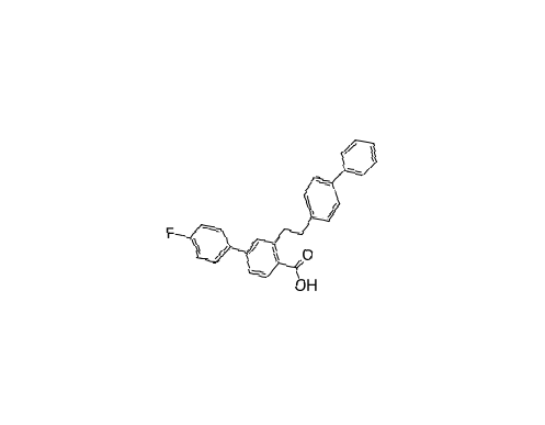 O=C(O)c1ccc(-c2ccc(F)cc2)cc1CCc1ccc(-c2ccccc2)cc1